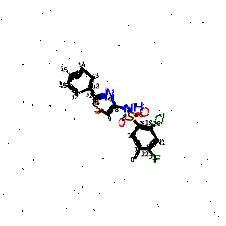 Cc1cc(S(=O)(=O)Nc2csc(-c3ccccc3)n2)c(Cl)cc1F